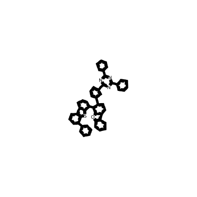 c1ccc(-c2nc(-c3ccccc3)nc(-c3cccc(-c4ccc5c(oc6ccccc65)c4-c4cccc5c4sc4c(-c6ccccc6)cccc45)c3)n2)cc1